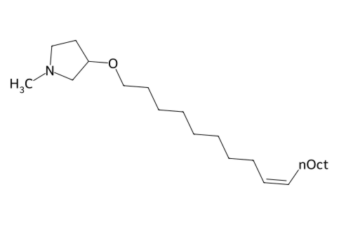 CCCCCCCC/C=C\CCCCCCCCOC1CCN(C)C1